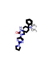 CN(C)[C@]1(c2ccccc2)CC[C@]2(CC1)CN(c1cnc(N3CCCC3)nc1)C(=O)N2